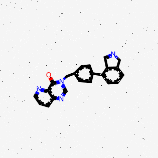 O=c1c2ncccc2ncn1Cc1ccc(-c2cccc3c2C=NC3)cc1